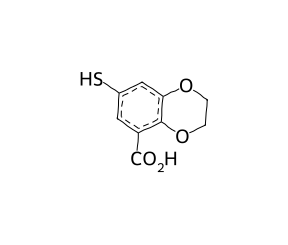 O=C(O)c1cc(S)cc2c1OCCO2